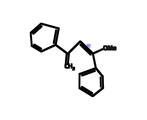 C=C(/C=C(/OC)c1ccccc1)c1ccccc1